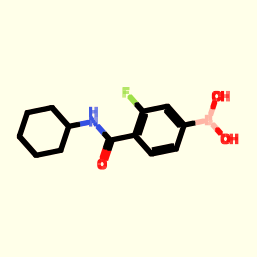 O=C(NC1CCCCC1)c1ccc(B(O)O)cc1F